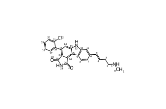 CNCC/C=C/c1ccc2c(c1)[nH]c1cc(-c3ccccc3Cl)c3c(c12)C(=O)NC3=O